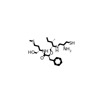 CC[C@H](C)[C@@H](CO[C@@H](Cc1ccccc1)C(=O)N[C@H](CO)CCSC)NC[C@@H](N)CS